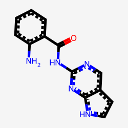 Nc1ccccc1C(=O)Nc1ncc2cc[nH]c2n1